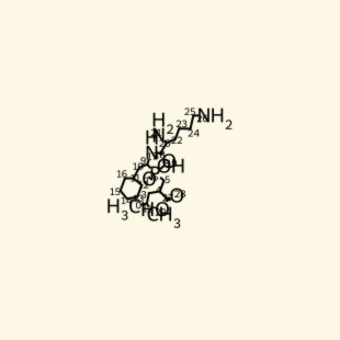 CC(C)CC(CP(=O)(O)C(CC1CCCCC1)NC(=O)C(N)CCCCN)C(=O)O